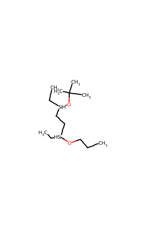 CCCO[SiH](CC)CC[SiH](CC)OC(C)(C)C